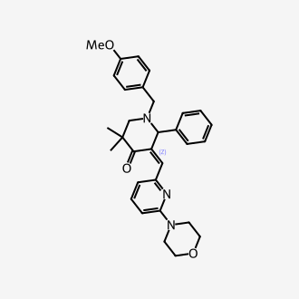 COc1ccc(CN2CC(C)(C)C(=O)/C(=C\c3cccc(N4CCOCC4)n3)C2c2ccccc2)cc1